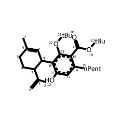 C=C(C)C1CCC(C)=CC1c1c(O)cc(CCCCC)c(C(=O)OC(C)(C)C)c1OC(C)(C)C